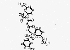 Cc1cccc(N(C(=O)CC2CN(S(=O)(=O)c3cccc(C(F)(F)F)c3)c3cc(NC(=O)O)ccc3O2)[SH](=O)=O)n1